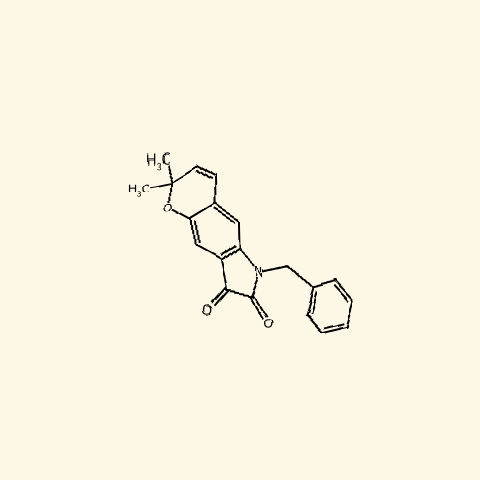 CC1(C)C=Cc2cc3c(cc2O1)C(=O)C(=O)N3Cc1ccccc1